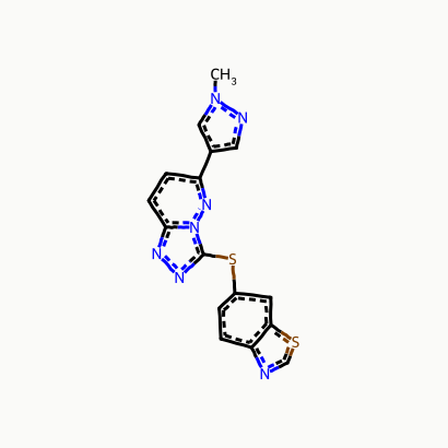 Cn1cc(-c2ccc3nnc(Sc4ccc5ncsc5c4)n3n2)cn1